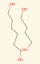 OCCCCCCO.OCCCCO